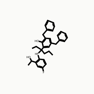 CCCC(CC)(Pc1ccc(F)cc1C(C)O)c1cc(Cc2ccccc2)cc(Cc2ccccc2)c1O